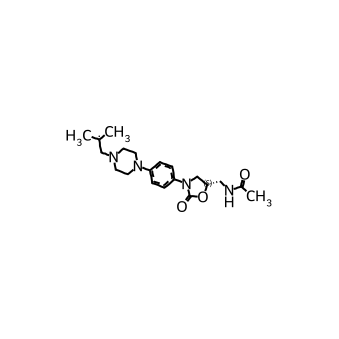 C[C](C)CN1CCN(c2ccc(N3C[C@H](CNC(C)=O)OC3=O)cc2)CC1